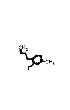 C=CCCc1ccc(C)cc1F